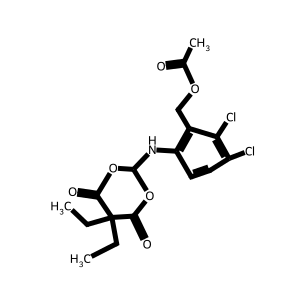 CCC1(CC)C(=O)OC(Nc2ccc(Cl)c(Cl)c2COC(C)=O)OC1=O